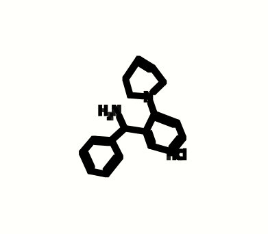 Cl.NC(c1ccccc1)c1ccccc1N1CC=CCC1